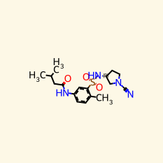 Cc1ccc(NC(=O)CC(C)C)cc1S(=O)(=O)N[C@@H]1CCN(C#N)C1